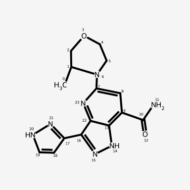 CC1COCCN1c1cc(C(N)=O)c2[nH]nc(-c3cc[nH]n3)c2n1